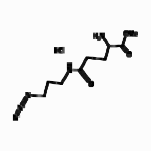 COC(=O)C(N)CCC(=O)NCCCN=[N+]=[N-].Cl